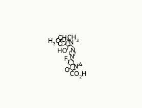 Cc1nc(CN2CCN(c3cc4c(cc3F)c(=O)c(C(=O)O)cn4C3CC3)CC2)c(CO)c2c1OC(C)(C)OC2